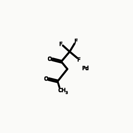 CC(=O)CC(=O)C(F)(F)F.[Pd]